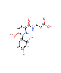 COc1ccc(C(=O)NCCC(=O)O)nc1-c1ccc(F)cc1F